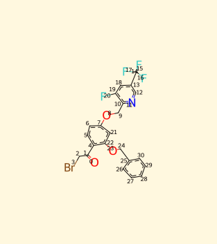 O=C(CBr)c1ccc(OCc2ncc(C(F)(F)F)cc2F)cc1OCc1ccccc1